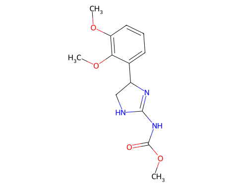 COC(=O)NC1=NC(c2cccc(OC)c2OC)CN1